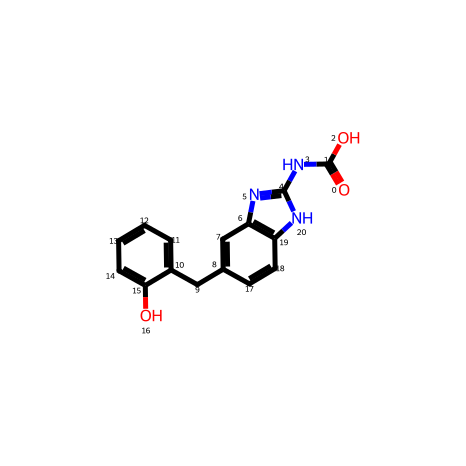 O=C(O)Nc1nc2cc(Cc3ccccc3O)ccc2[nH]1